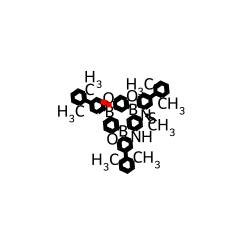 CSN1c2cc3c(cc2B2c4cc5c(cc4Oc4cc(-c6c(C)cccc6C)cc1c42)Oc1cc(-c2c(C)cccc2C)cc2c1B5c1ccccc1O2)B1c2ccccc2Oc2cc(-c4c(C)cccc4C)cc(c21)N3